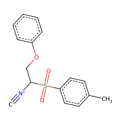 [C-]#[N+]C(COc1ccccc1)S(=O)(=O)c1ccc(C)cc1